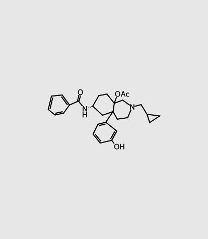 CC(=O)OC12CC[C@@H](NC(=O)c3ccccc3)CC1(c1cccc(O)c1)CCN(CC1CC1)C2